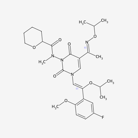 COc1ccc(F)cc1/C(=C/n1cc(/C(C)=N/OC(C)C)c(=O)n(N(C)C(=O)C2CCCCO2)c1=O)OC(C)C